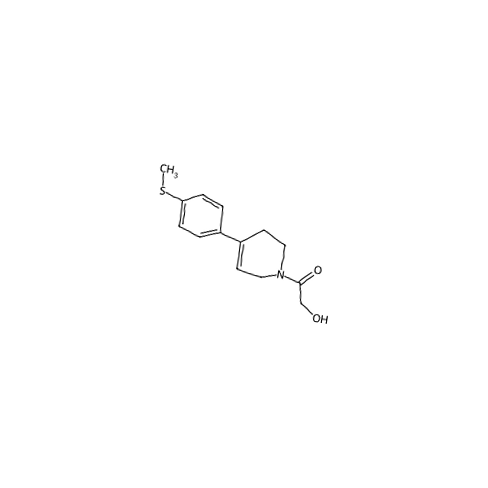 CSc1ccc(C2=CCN(C(=O)CO)CC2)cc1